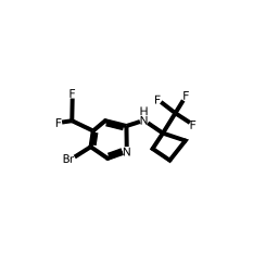 FC(F)c1cc(NC2(C(F)(F)F)CCC2)ncc1Br